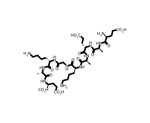 C[C@H](NC(=O)[C@H](CCCCN)NC(=O)CNC(=O)[C@H](CCCCN)NC(=O)[C@H](C)NC(=O)[C@H](CCC(=O)O)NC(=O)[C@H](C)NC(=O)[C@@H](N)CCC(=O)O)C(=O)N[C@@H](CCC(=O)O)C(=O)O